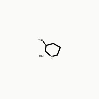 CC(C)(C)[C@H]1CCCNC1.Cl